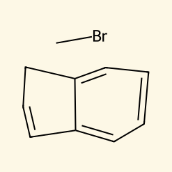 C1=Cc2ccccc2C1.CBr